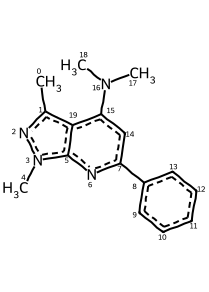 Cc1nn(C)c2nc(-c3ccccc3)cc(N(C)C)c12